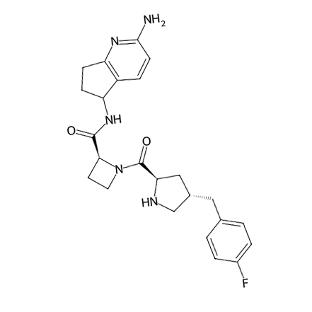 Nc1ccc2c(n1)CCC2NC(=O)[C@@H]1CCN1C(=O)[C@H]1C[C@H](Cc2ccc(F)cc2)CN1